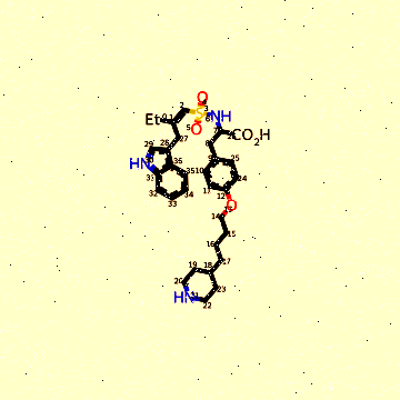 CC/C(=C/S(=O)(=O)NC(Cc1ccc(OCCCCC2CCNCC2)cc1)C(=O)O)Cc1c[nH]c2ccccc12